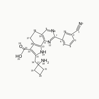 N#Cc1cccc(-c2ncc3c(n2)-c2[nH]c(CC4(N)CCC4)c(C(=O)O)c2CC3)c1